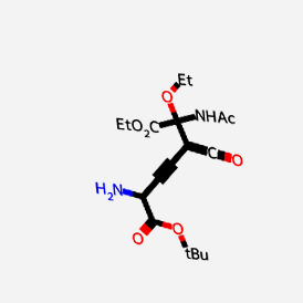 CCOC(=O)C(NC(C)=O)(OCC)C(=C=O)C#CC(N)C(=O)OC(C)(C)C